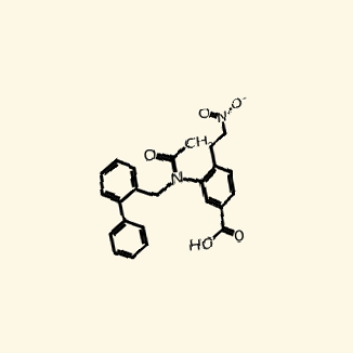 CC(=O)N(Cc1ccccc1-c1ccccc1)c1cc(C(=O)O)ccc1CC[N+](=O)[O-]